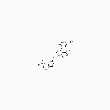 COc1ccc(F)c(-c2ccc(COc3ccc4c(c3)[C@@]3(CCC4)CC[C@H]3C)cc2C2=CCCC2(C)C)c1